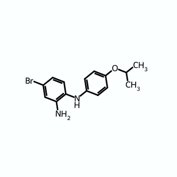 CC(C)Oc1ccc(Nc2ccc(Br)cc2N)cc1